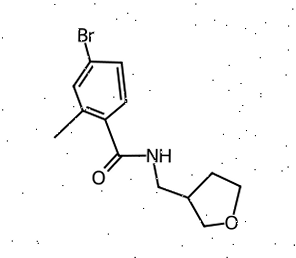 Cc1cc(Br)ccc1C(=O)NCC1CCOC1